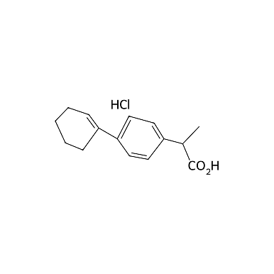 CC(C(=O)O)c1ccc(C2=CCCCC2)cc1.Cl